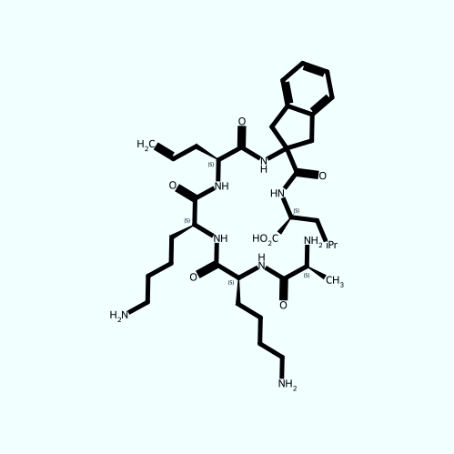 C=CC[C@H](NC(=O)[C@H](CCCCN)NC(=O)[C@H](CCCCN)NC(=O)[C@H](C)N)C(=O)NC1(C(=O)N[C@@H](CC(C)C)C(=O)O)Cc2ccccc2C1